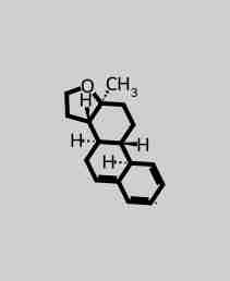 C[C@]12CC[C@H]3[C@@H](CC=C4C=[C]C=C[C@@H]43)[C@@H]1CCO2